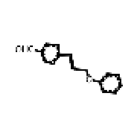 O=Cc1ccc(C=CCOc2ccccc2)cc1